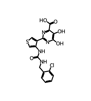 O=C(NCc1ccccc1Cl)Nc1cscc1-c1nc(O)c(O)c(C(=O)O)n1